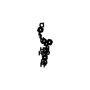 O=C(N/N=C1\CC2(CCN(C/C=C/c3ccc(Cl)cc3)CC2)c2ccccc21)Nc1ccc(OC(F)(F)F)cc1